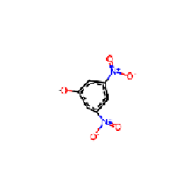 [O]c1cc([N+](=O)[O-])cc([N+](=O)[O-])c1